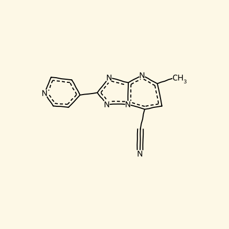 Cc1cc(C#N)n2nc(-c3ccncc3)nc2n1